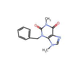 Cn1c(=O)c2ncn(C)c2n(Cc2ccccc2)c1=O